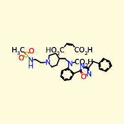 CS(=O)(=O)NCCN1CCC(CN(C(=O)O)c2ccccc2-c2nc(Cc3ccccc3)no2)CC1.O=C(O)/C=C\C(=O)O